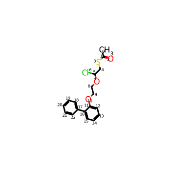 CC(=O)SCC(Cl)OCCOc1ccccc1-c1ccccc1